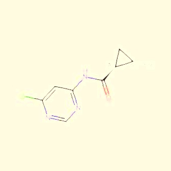 C[C@H]1C[C@@H]1C(=O)Nc1cc(Cl)ncn1